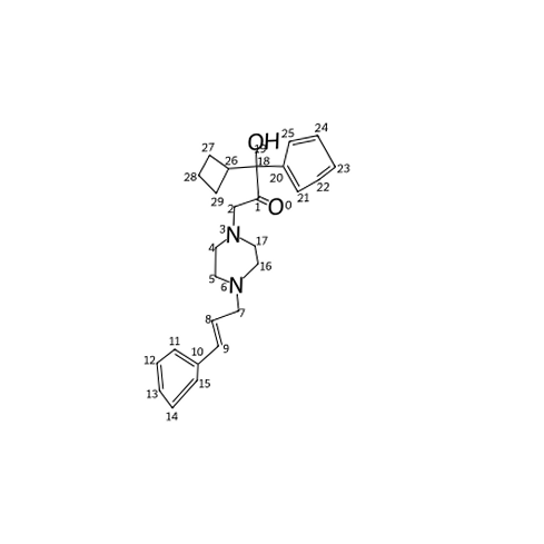 O=C(CN1CCN(C/C=C/c2ccccc2)CC1)C(O)(c1ccccc1)C1CCC1